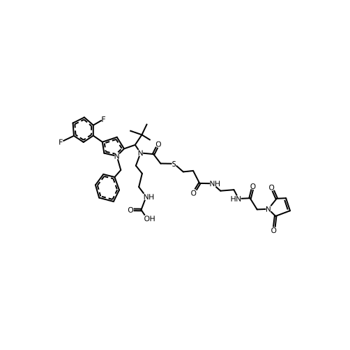 CC(C)(C)C(c1cc(-c2cc(F)ccc2F)cn1Cc1ccccc1)N(CCCNC(=O)O)C(=O)CSCCC(=O)NCCNC(=O)CN1C(=O)C=CC1=O